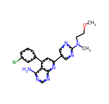 COCCN(C)c1ncc(-c2cc(-c3cccc(Br)c3)c3c(N)ncnc3n2)cn1